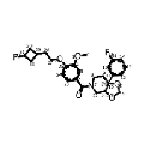 COc1cc(C(=O)N2CC[C@]3(c4cccc(F)c4)OCOC3C2)ccc1OCCC1CC(F)C1